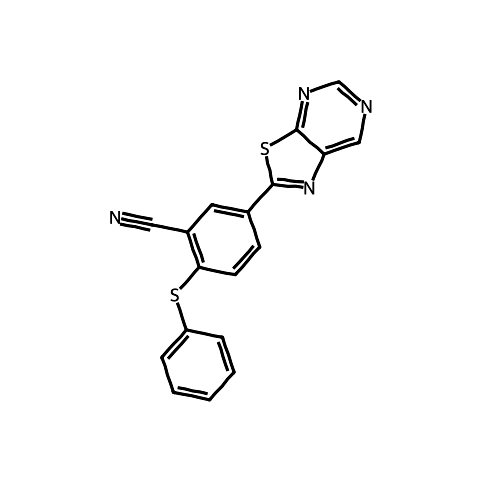 N#Cc1cc(-c2nc3cncnc3s2)ccc1Sc1ccccc1